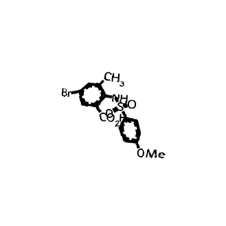 COc1ccc(S(=O)(=O)Nc2c(C)cc(Br)cc2C(=O)O)cc1